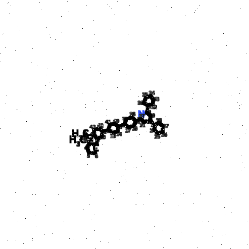 C[Si]1(C)c2ccccc2-c2cc(-c3ccc(-c4ccc(-c5cc(-c6ccccc6)cc(-c6ccccc6)n5)cc4)cc3)ccc21